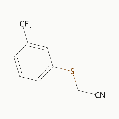 N#CCSc1cccc(C(F)(F)F)c1